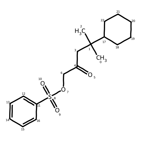 CC(C)(CC(=O)COS(=O)(=O)c1ccccc1)C1CCCCC1